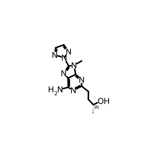 C[C@@H](O)CCc1nc(N)c2nc(-n3nccn3)n(C)c2n1